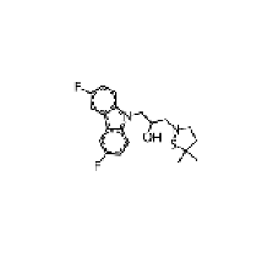 CC1(C)CCN(CC(O)Cn2c3ccc(F)cc3c3cc(F)ccc32)S1